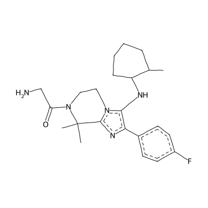 CC1CCCCC1Nc1c(-c2ccc(F)cc2)nc2n1CCN(C(=O)CN)C2(C)C